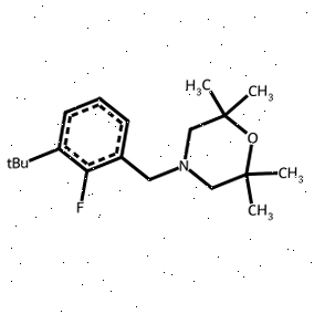 CC1(C)CN(Cc2cccc(C(C)(C)C)c2F)CC(C)(C)O1